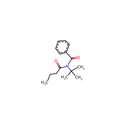 CCCC(=O)N(C(=O)c1ccccc1)C(C)(C)C